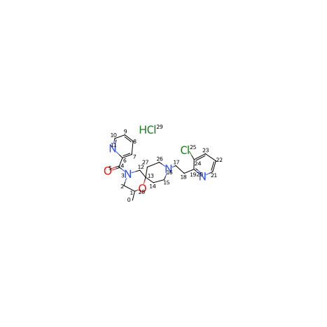 CC1CN(C(=O)c2ccccn2)CC2(CCN(CCc3ncccc3Cl)CC2)O1.Cl